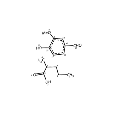 CCCC(C)C(=O)O.COc1cc(C=O)ccc1O